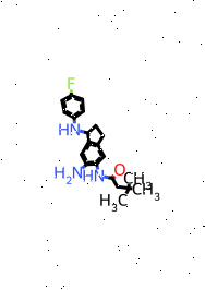 CC(C)(C)CC(=O)Nc1cc2c(cc1N)C(Nc1ccc(F)cc1)CC2